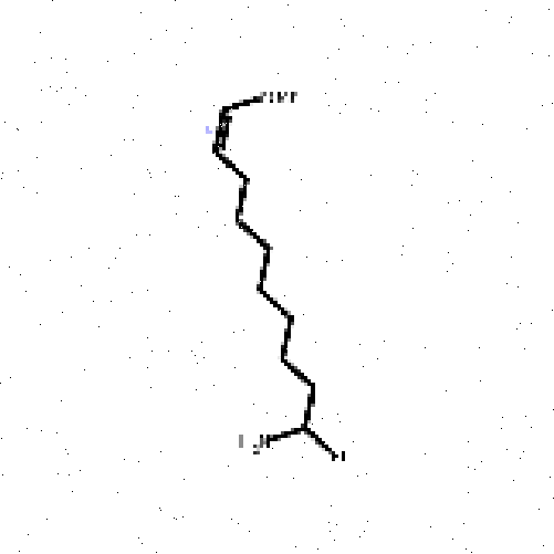 [CH2]CC(N)CCCCCCC/C=C\CCCCCCCC